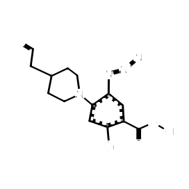 C=CCC1CCN(c2cc(Br)c(C(=O)OC)cc2N=[N+]=[N-])CC1